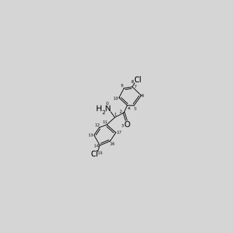 NC(C(=O)c1ccc(Cl)cc1)c1ccc(Cl)cc1